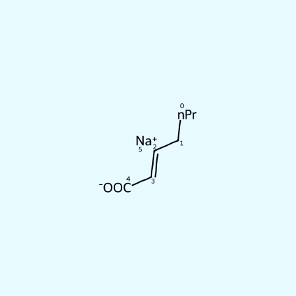 CCCCC=CC(=O)[O-].[Na+]